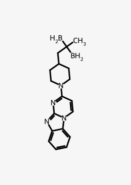 BC(B)(C)CC1CCN(c2ccn3c(n2)nc2ccccc23)CC1